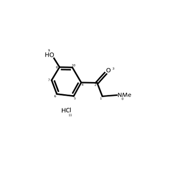 CNCC(=O)c1cccc(O)c1.Cl